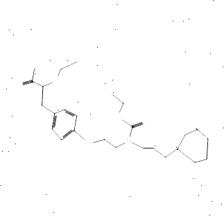 CCOC(=O)N(CCCC1CCCCC1)CCOc1ccc(CC(OCC)C(=O)O)cc1